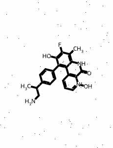 Cc1c(F)c(O)c(-c2ccc(C(C)CN)cc2)c2c1[nH]c(=O)c1c2ccc[n+]1O